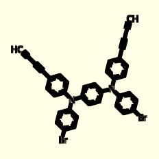 C#CC#Cc1ccc(N(c2ccc(Br)cc2)c2ccc(N(c3ccc(Br)cc3)c3ccc(C#CC#C)cc3)cc2)cc1